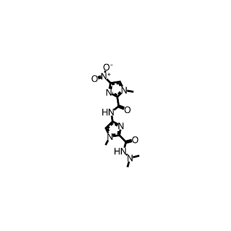 CN(C)NC(=O)c1nc(NC(=O)c2nc([N+](=O)[O-])cn2C)cn1C